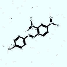 O=[N+]([O-])c1ccc(N=Nc2ccc(O)cc2)c([N+](=O)[O-])c1